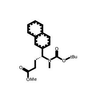 COC(=O)CC[C@H](c1ccc2ccccc2c1)N(C)C(=O)OC(C)(C)C